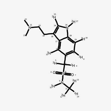 [2H]c1c(C([2H])([2H])S(=O)(=O)N([2H])C([2H])([2H])[2H])c([2H])c2c(CCN(C)C)c([2H])n([2H])c2c1[2H]